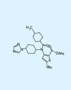 COC(=O)c1sc(C(C)(C)C)cc1N(C(=O)C1CCC(C)CC1)C1CCC(n2cncn2)CC1